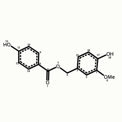 COc1cc(COC(=O)c2ccc(O)cc2)ccc1O